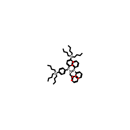 CCCC[Si](CCCC)(CCCC)c1ccc(P(c2ccc([Si](CCCC)(CCCC)CCCC)cc2)N(Cc2ccccc2)P(c2ccccc2)c2ccccc2OC)cc1